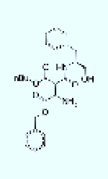 CCCCOC(=O)[C@@H](C(=O)N[C@H](CO)Cc1ccccc1)C(N)C(=O)OCc1ccccc1